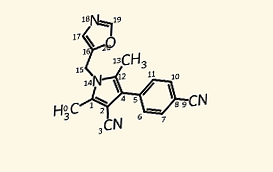 Cc1c(C#N)c(-c2ccc(C#N)cc2)c(C)n1Cc1cnco1